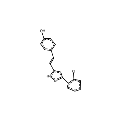 Oc1ccc(/C=C/c2cc(-c3ccccc3Cl)n[nH]2)cc1